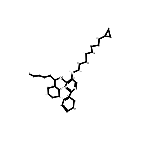 CCCCCC(Oc1nc(C2=CC=CC[CH]2)ncc1OCCCCCCCCC1CC1)C1CCCCC1